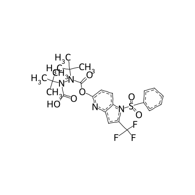 CC(C)(C)N(C(=O)O)N(C(=O)Oc1ccc2c(cc(C(F)(F)F)n2S(=O)(=O)c2ccccc2)n1)C(C)(C)C